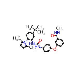 CNC(=O)c1cccc(Oc2ccc(NC(=O)Nc3cc(C(C)(C)C)ccc3-n3c(C)ccc3C)cc2)c1